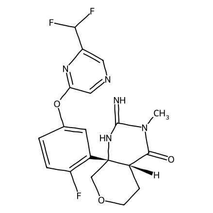 CN1C(=N)N[C@@]2(c3cc(Oc4cncc(C(F)F)n4)ccc3F)COCC[C@H]2C1=O